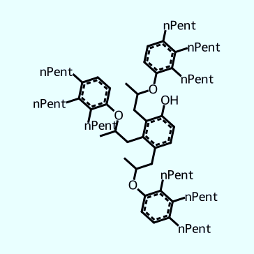 CCCCCc1ccc(OC(C)Cc2ccc(O)c(CC(C)Oc3ccc(CCCCC)c(CCCCC)c3CCCCC)c2CC(C)Oc2ccc(CCCCC)c(CCCCC)c2CCCCC)c(CCCCC)c1CCCCC